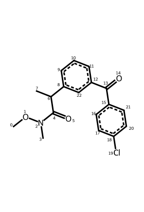 CON(C)C(=O)C(C)c1cccc(C(=O)c2ccc(Cl)cc2)c1